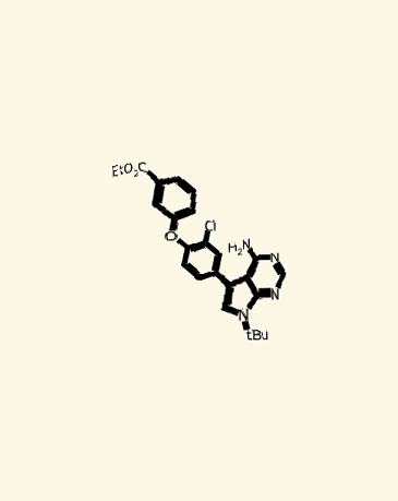 CCOC(=O)c1cccc(Oc2ccc(-c3cn(C(C)(C)C)c4ncnc(N)c34)cc2Cl)c1